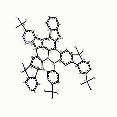 CC(C)(C)c1ccc(N2B3c4cc5c(cc4-n4c6ccc(C(C)(C)C)cc6c6c7c(oc8ccccc87)c(c3c64)-c3cc4c(cc32)-c2cc(C(C)(C)C)ccc2C4(C)C)C(C)(C)c2ccccc2-5)cc1